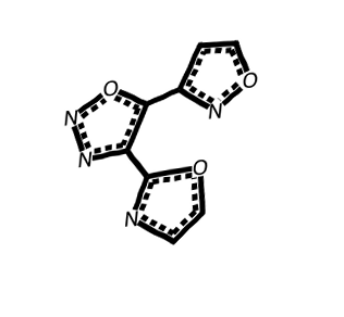 c1coc(-c2nnoc2-c2ccon2)n1